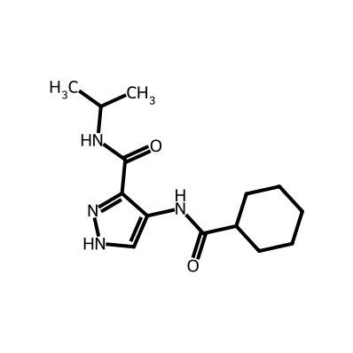 CC(C)NC(=O)c1n[nH]cc1NC(=O)C1CCCCC1